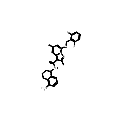 Cc1cc(OCc2c(F)cccc2F)n2nc(C)c(C(=O)NC3CCCc4c(N)cccc43)c2c1